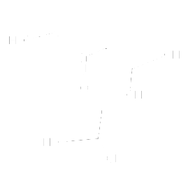 CO[SiH](CC(C)C)OCC(C)C